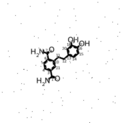 NC(=O)c1ccc(C(N)=O)c(CCc2ccc(O)c(O)c2)c1